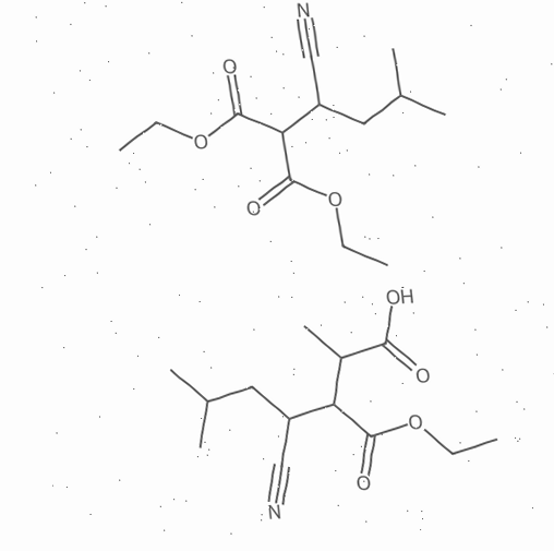 CCOC(=O)C(C(=O)OCC)C(C#N)CC(C)C.CCOC(=O)C(C(C#N)CC(C)C)C(C)C(=O)O